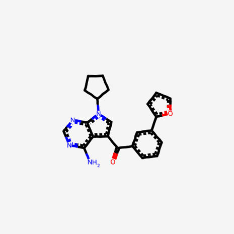 Nc1ncnc2c1c(C(=O)c1cccc(-c3ccco3)c1)cn2C1CCCC1